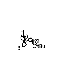 CC(C)(C)OC(=O)NC1(Cc2ccc(-n3c4c(c5cc(Br)ccc53)CCNC4=O)cc2)CC1